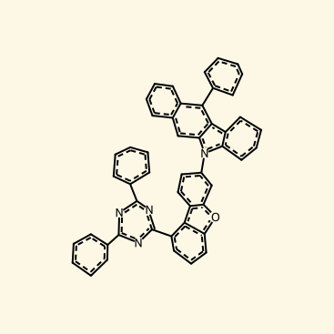 c1ccc(-c2nc(-c3ccccc3)nc(-c3cccc4oc5cc(-n6c7ccccc7c7c(-c8ccccc8)c8ccccc8cc76)ccc5c34)n2)cc1